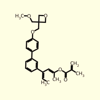 C=C(C)C(=O)O/C(C)=C/C(=C\C)c1cccc(-c2ccc(OCC3(COC)COC3)cc2)c1